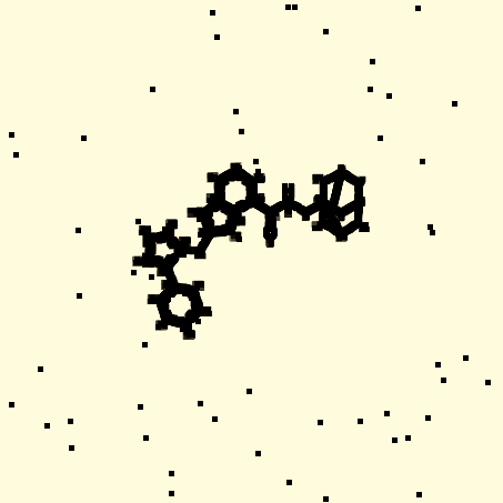 O=C(NCC12CC3CC(CC(C3)C1)C2)c1cccc2nc(Cn3nnnc3-c3ccncc3)cn12